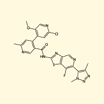 COc1cnc(Cl)cc1-c1cc(C)ncc1C(=O)Nc1nc2cnc(-c3c(C)nnn3C)c(F)c2s1